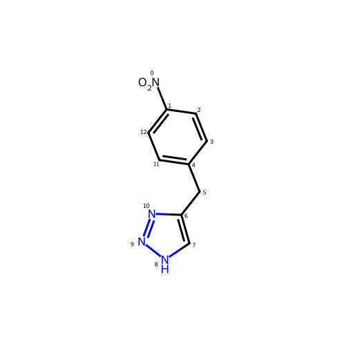 O=[N+]([O-])c1ccc(Cc2c[nH]nn2)cc1